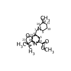 COC(=O)c1cc(CN2CCC[C@H](C)C2)c2c(n1)C(C)(C)CO2